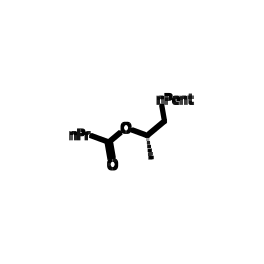 CCCCCC[C@H](C)OC(=O)CCC